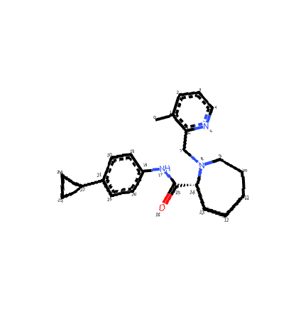 Cc1cccnc1CN1CCCCC[C@@H]1C(=O)Nc1ccc(C2CC2)cc1